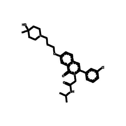 CC(C)NC(=O)Cn1c(-c2cccc(Cl)c2)cc2ccc(OCCCN3CCC(C)(O)CC3)cc2c1=O